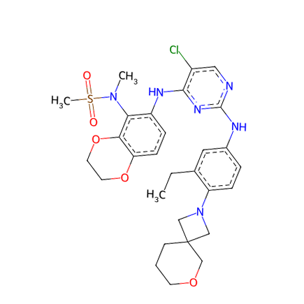 CCc1cc(Nc2ncc(Cl)c(Nc3ccc4c(c3N(C)S(C)(=O)=O)OCCO4)n2)ccc1N1CC2(CCCOC2)C1